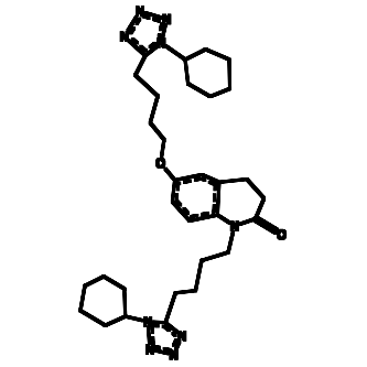 O=C1CCc2cc(OCCCCc3nnnn3C3CCCCC3)ccc2N1CCCCc1nnnn1C1CCCCC1